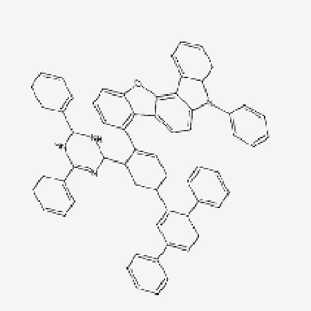 C1=CCCC(C2=NC(C3CC(C4=CC(c5ccccc5)=CCC4c4ccccc4)CC=C3c3cccc4oc5c6c(ccc5c34)N(c3ccccc3)C3CC=CC=C63)NC(C3=CC=CCC3)N2)=C1